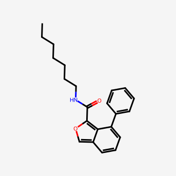 CCCCCCCNC(=O)c1occ2cccc(-c3ccccc3)c12